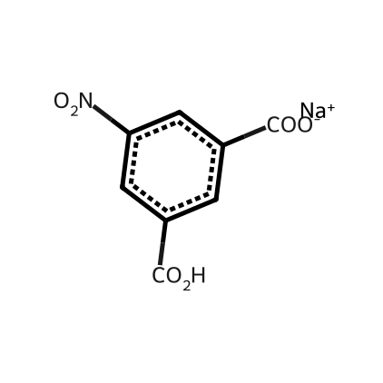 O=C([O-])c1cc(C(=O)O)cc([N+](=O)[O-])c1.[Na+]